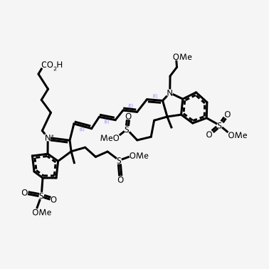 COCCN1/C(=C/C=C/C=C/C=C/C2=[N+](CCCCCC(=O)O)c3ccc(S(=O)(=O)OC)cc3C2(C)CCCS(=O)OC)C(C)(CCCS(=O)OC)c2cc(S(=O)(=O)OC)ccc21